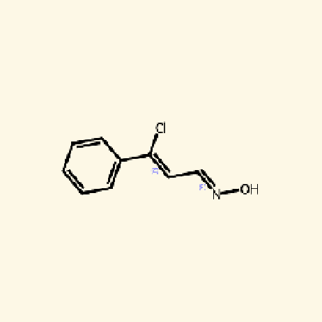 O/N=C/C=C(\Cl)c1ccccc1